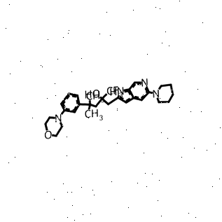 CC(C)(CC(O)(Cc1cc2cc(N3CCCCC3)ncc2[nH]1)C(F)(F)F)c1cccc(N2CCOCC2)c1